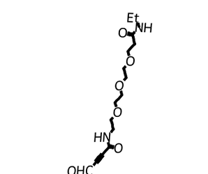 CCNC(=O)CCOCCOCCOCCNC(=O)C#CC=O